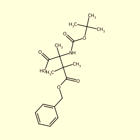 CC(C)(C)OC(=O)NC(C)(C(=O)O)C(C)(C)C(=O)OCc1ccccc1